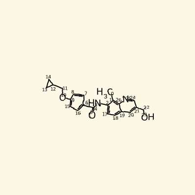 Cc1c(NC(=O)c2ccc(OCC3CC3)cc2)ccc2cc(CO)cnc12